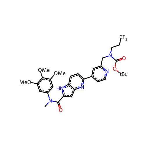 COc1cc(N(C)C(=O)c2cc3nc(-c4ccnc(CN(CCC(F)(F)F)C(=O)OC(C)(C)C)c4)ccc3[nH]2)cc(OC)c1OC